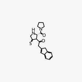 O=C(CC1=Cc2ccccc2C1)C1C(=S)CN[C@@H]1C(=O)N1CCCC1